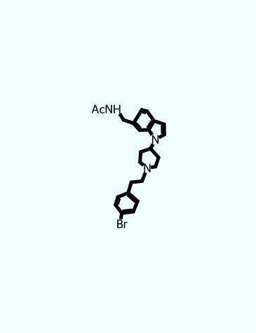 CC(=O)NCc1ccc2ccn(C3CCN(CCc4ccc(Br)cc4)CC3)c2c1